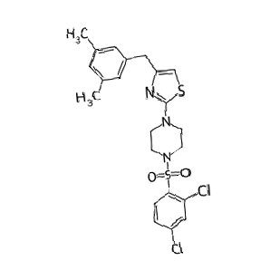 Cc1cc(C)cc(Cc2csc(N3CCN(S(=O)(=O)c4ccc(Cl)cc4Cl)CC3)n2)c1